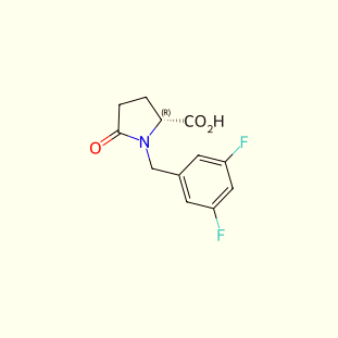 O=C(O)[C@H]1CCC(=O)N1Cc1cc(F)cc(F)c1